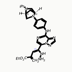 C=C(/C=C(\NN)c1cnc(Nc2ccc(N3C[C@@H]4C[C@H]3CN4C(C)C)cc2)c2ncnn12)C(=O)OCC